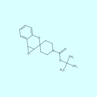 CC(C)(C)OC(=O)N1CCC2(CC1)Oc1ccccc1C1OC12